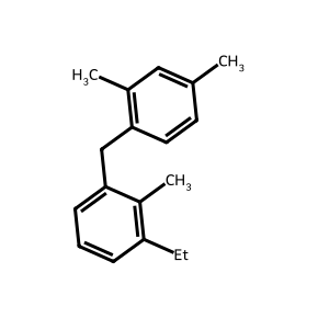 CCc1cccc(Cc2ccc(C)cc2C)c1C